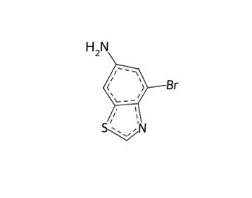 Nc1cc(Br)c2ncsc2c1